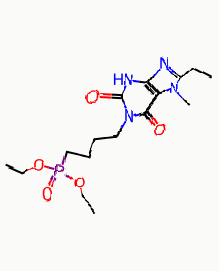 CCOP(=O)(CCCCn1c(=O)[nH]c2nc(CC)n(C)c2c1=O)OCC